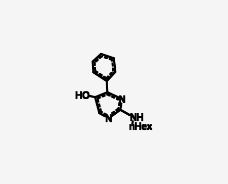 CCCCCCNc1ncc(O)c(-c2ccccc2)n1